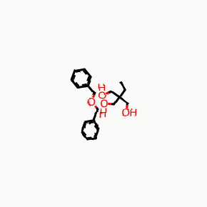 CCC(CO)(CO)CO.c1ccc(COCc2ccccc2)cc1